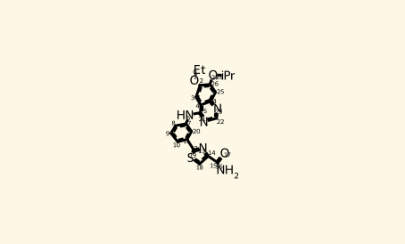 CCOc1cc2c(Nc3cccc(-c4nc(C(N)=O)cs4)c3)ncnc2cc1OC(C)C